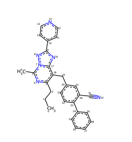 CCCc1nc(C)n2nc(-c3ccncc3)nc2c1Cc1ccc(-c2ccccc2)c(C#N)c1